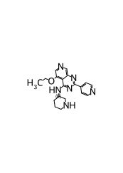 CCOc1cncc2nc(-c3ccncc3)nc(N[C@@H]3CCCNC3)c12